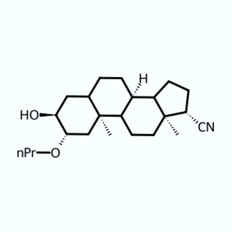 CCCO[C@H]1C[C@@]2(C)C(CC[C@@H]3C2CC[C@@]2(C)C3CC[C@@H]2C#N)C[C@@H]1O